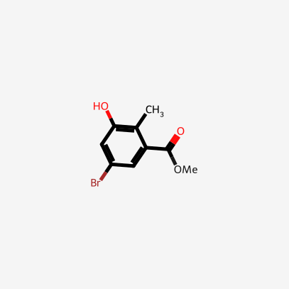 COC(=O)c1cc(Br)cc(O)c1C